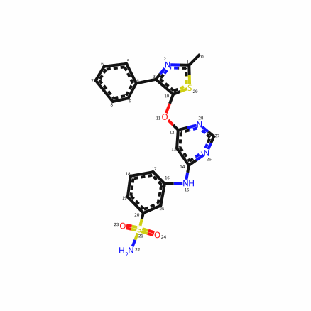 Cc1nc(-c2ccccc2)c(Oc2cc(Nc3cccc(S(N)(=O)=O)c3)ncn2)s1